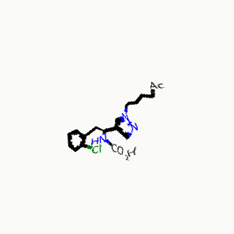 CC(=O)CCCCn1cc([C@H](Cc2ccccc2Cl)NC(=O)O)cn1